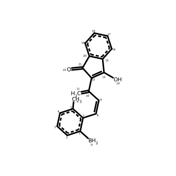 Bc1cccc(C)c1/C=C\C(=C)C1=C(O)c2ccccc2C1=O